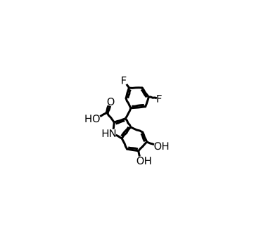 O=C(O)c1[nH]c2cc(O)c(O)cc2c1-c1cc(F)cc(F)c1